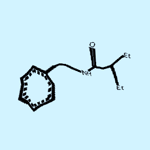 CCC(CC)C(=O)NCc1ccccc1